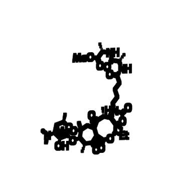 CC[C@H]1OC(=O)[C@]2(F)C(=O)[C@H](C)[C@@H](O[C@H]3O[C@H](C)C[C@H](N(C)C)[C@H]3O)[C@@](C)(OC)C[C@]2(C)C(=O)[C@H](C)[C@@H]2N(CCCCC(=O)N[C@@H](C)C(=O)N[C@@H](C)C(=O)OC)C(=O)O[C@@]21C